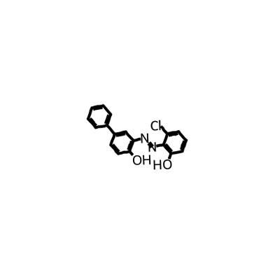 Oc1ccc(-c2ccccc2)cc1N=Nc1c(O)cccc1Cl